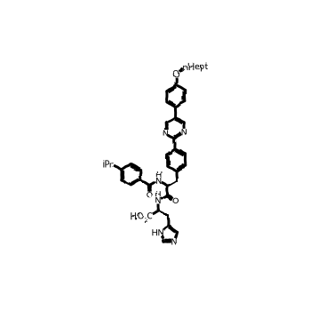 CCCCCCCOc1ccc(-c2cnc(-c3ccc(CC(NC(=O)c4ccc(C(C)C)cc4)C(=O)NC(Cc4cnc[nH]4)C(=O)O)cc3)nc2)cc1